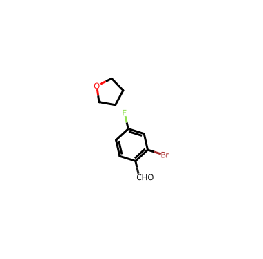 C1CCOC1.O=Cc1ccc(F)cc1Br